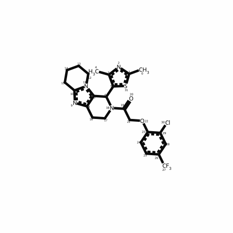 Cc1nc(C)c(C2c3c(nc4n3CCCC4)CCN2C(=O)COc2ccc(C(F)(F)F)cc2Cl)s1